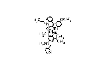 CCCCn1c(=O)c(NC(=O)Nc2c(C(C)C)cc(N(C)Cc3cccnc3)cc2C(C)C)c(-c2cccc(OC)c2)c2cccnc21